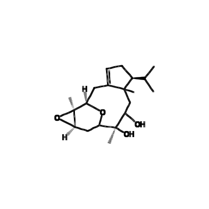 CC(C)[C@@H]1CC=C2C[C@H]3OC(C[C@H]4O[C@@]34C)[C@](C)(O)C(O)CC21C